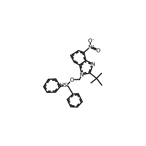 CC(C)(C)c1nc2c([N+](=O)[O-])cccc2n1CO[SiH](c1ccccc1)c1ccccc1